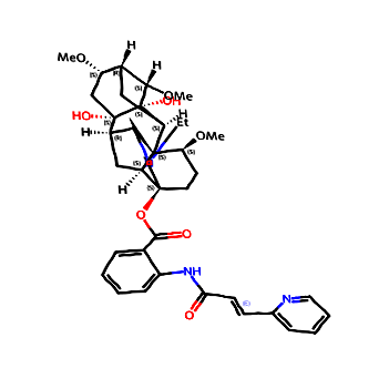 CCN1C[C@]2(OC(=O)c3ccccc3NC(=O)/C=C/c3ccccn3)CC[C@H](OC)[C@]34C1[C@@H](C[C@H]23)[C@@]1(O)C[C@H](OC)[C@H]2C[C@@H]4[C@]1(O)[C@H]2OC